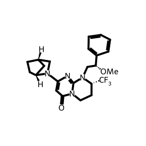 CO[C@H](CN1c2nc(N3C[C@H]4CC[C@@H]3C4)cc(=O)n2CC[C@H]1C(F)(F)F)c1ccccc1